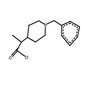 CC(C(=O)Cl)C1CCN(Cc2ccccc2)CC1